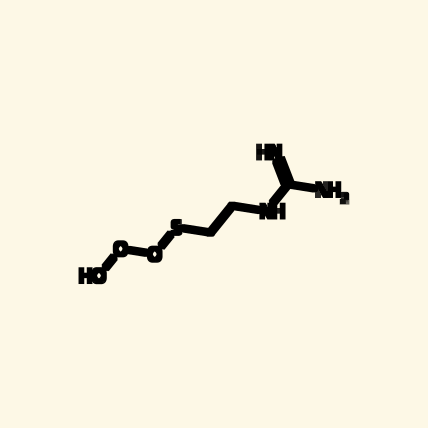 N=C(N)NCCSOOO